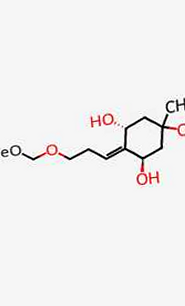 COCOCCC=C1[C@H](O)CC(C)(O)C[C@H]1O